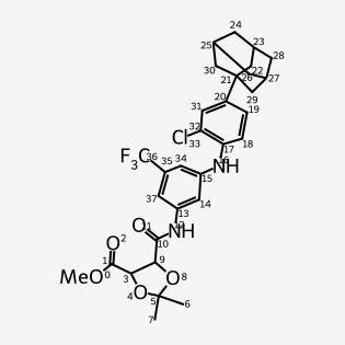 COC(=O)C1OC(C)(C)OC1C(=O)Nc1cc(Nc2ccc(C34CC5CC(CC(C5)C3)C4)cc2Cl)cc(C(F)(F)F)c1